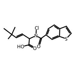 CC(C)(C)/C=C/C(C(=O)O)N(Cl)C(=O)c1ccc2ccsc2c1